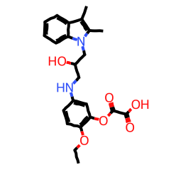 CCOc1ccc(NCC(O)Cn2c(C)c(C)c3ccccc32)cc1OC(=O)C(=O)O